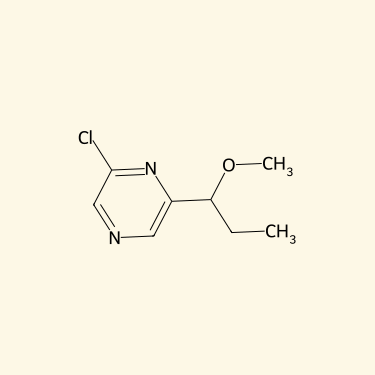 CCC(OC)c1cncc(Cl)n1